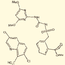 COC(=O)c1ccccc1CS(=O)(=O)NC(=O)Nc1nc(OC)cc(OC)n1.O=C(O)c1c(Cl)ccc2cc(Cl)cnc12